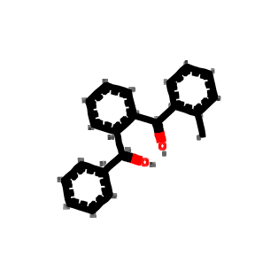 Cc1ccccc1C(=O)c1ccccc1C(=O)c1ccccc1